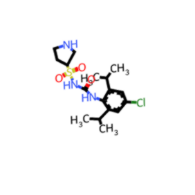 CC(C)c1cc(Cl)cc(C(C)C)c1NC(=O)NS(=O)(=O)C1CCNC1